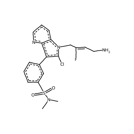 CN(C)S(=O)(=O)c1cccc(-c2c(Cl)n(CC(F)=CCN)c3cccnc23)c1